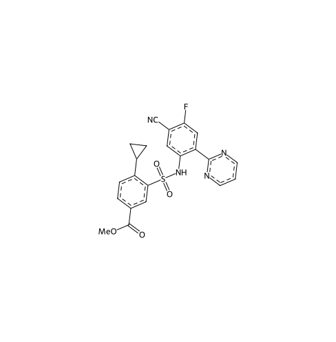 COC(=O)c1ccc(C2CC2)c(S(=O)(=O)Nc2cc(C#N)c(F)cc2-c2ncccn2)c1